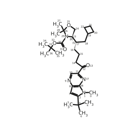 Cn1c(C(C)(C)C)cc2ncc(C(=O)CCC[C@@H](CC3CCC3)[C@@H]3COC(C)(C)N3C(=O)OC(C)(C)C)nc21